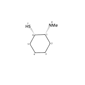 CN[C@@H]1CCCC[C@@H]1S